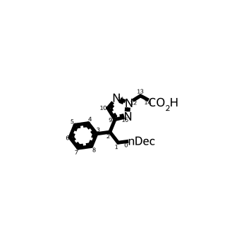 CCCCCCCCCCCC(c1ccccc1)c1cnn(CC(=O)O)n1